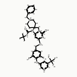 CC(C)(C)OC(=O)N1c2cc(OCc3cc(F)c(Oc4cncc(C(F)(F)F)c4)c(F)c3)nc(=O)n2CC12CCN(Cc1ccccc1)CC2